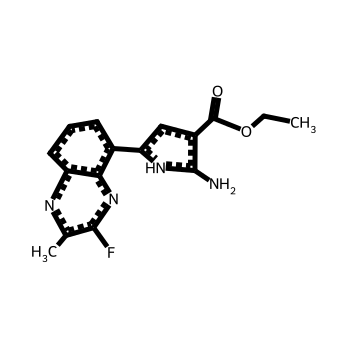 CCOC(=O)c1cc(-c2cccc3nc(C)c(F)nc23)[nH]c1N